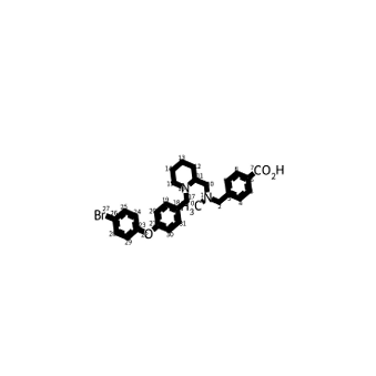 CN(Cc1ccc(C(=O)O)cc1)CC1CCCCN1Cc1ccc(Oc2ccc(Br)cc2)cc1